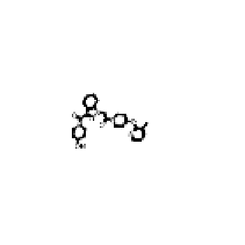 Cc1cccnc1OC1CCN(C(=O)Cn2nc(C(=O)N3CCC(O)CC3)c3c2CCCC3)CC1